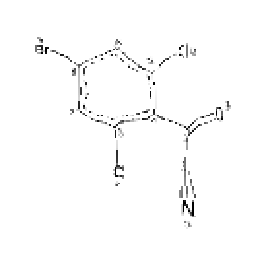 N#CC(=O)c1c(Cl)cc(Br)cc1Cl